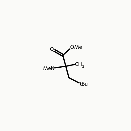 CNC(C)(CC(C)(C)C)C(=O)OC